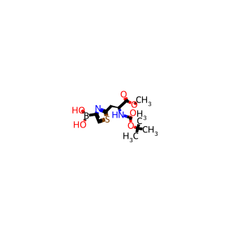 COC(=O)[C@H](Cc1nc(B(O)O)cs1)NC(=O)OC(C)(C)C